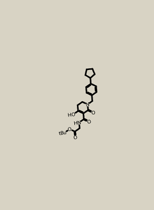 CC(C)(C)OC(=O)CNC(=O)C1=C(O)CCN(Cc2ccc(C3CCCC3)cc2)C1=O